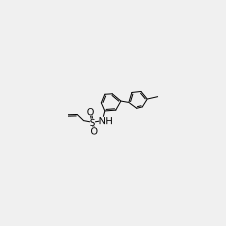 C=CCS(=O)(=O)Nc1cccc(-c2ccc(C)cc2)c1